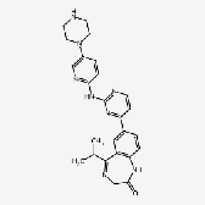 CC(C)C1=NCC(=O)Nc2ccc(-c3ccnc(Nc4ccc(N5CCNCC5)cn4)n3)cc21